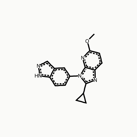 COc1ccc2nc(C3CC3)n(-c3ccc4[nH]ncc4c3)c2n1